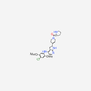 COc1cc(Nc2ccnc3c2CC(C2=CCN(C(=O)[C@@H]4CCCCN4)CC2)N3)c(OC)cc1Cl